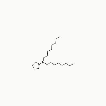 CCCCCCCCN(CCCCCCCC)N1CCCC1